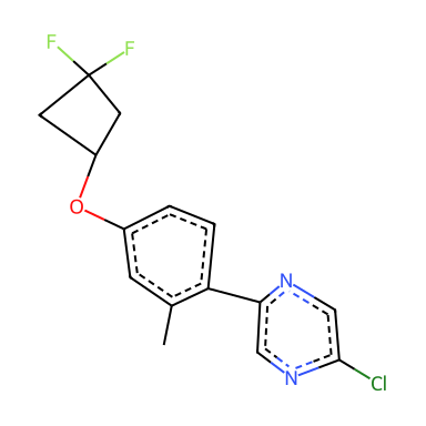 Cc1cc(OC2CC(F)(F)C2)ccc1-c1cnc(Cl)cn1